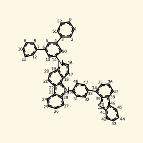 c1ccc(-c2cc(-c3ccccc3)cc(-n3ccc4c3ccc3c5ccccc5n(-c5ccc(-c6cccc7c6sc6ccccc67)cc5)c34)c2)cc1